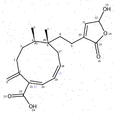 C=C1CC[C@@H](C)[C@](C)(CCC2=CC(O)OC2=O)C/C=C\C=C/1C(=O)O